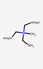 CCCCCCCC[N+](C)(C[SiH3])CCCCCCCC